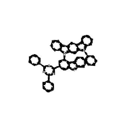 c1ccc(-c2nc(-c3ccccc3)nc(-c3cc(-n4c5ccccc5c5cc6c7ccccc7n(-c7ccccc7)c6cc54)c4c(c3)sc3ccccc34)n2)cc1